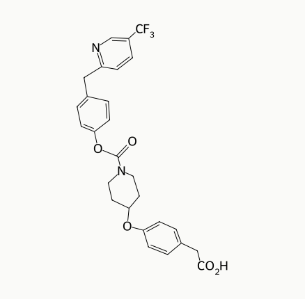 O=C(O)Cc1ccc(OC2CCN(C(=O)Oc3ccc(Cc4ccc(C(F)(F)F)cn4)cc3)CC2)cc1